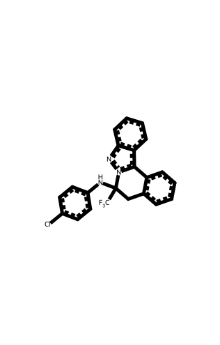 FC(F)(F)C1(Nc2ccc(Cl)cc2)Cc2ccccc2-c2c3ccccc3nn21